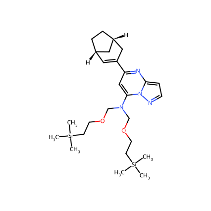 C[Si](C)(C)CCOCN(COCC[Si](C)(C)C)c1cc(C2=C[C@@H]3CC[C@H](C2)C3)nc2ccnn12